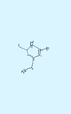 CCC1=CC(CN)=CC(C)N1